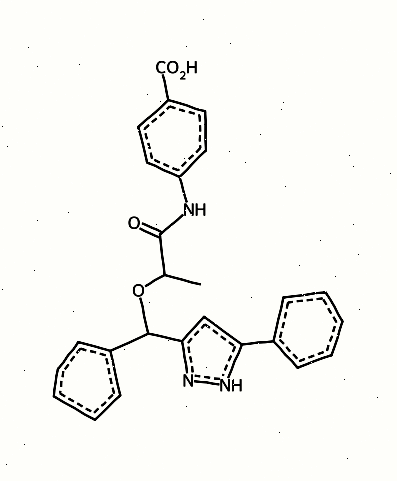 CC(OC(c1ccccc1)c1cc(-c2ccccc2)[nH]n1)C(=O)Nc1ccc(C(=O)O)cc1